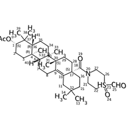 CC(=O)O[C@H]1CC[C@]2(C)[C@H]3CCC4=C5CC(C)(C)CC[C@]5(C(=O)N5CC[SH](=O)(C=O)CC5)CC[C@@]4(C)[C@]3(C)CC[C@H]2C1(C)C